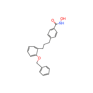 O=C(NO)c1ccc(CCCc2ccccc2OCc2ccccc2)cc1